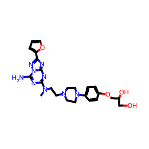 CN(CCN1CCN(c2ccc(OCC(O)CO)cc2)CC1)c1nc(N)n2nc(-c3ccco3)nc2n1